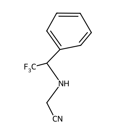 N#CCNC(c1ccccc1)C(F)(F)F